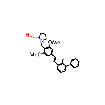 COc1cc(/C=C/c2cccc(-c3ccccc3)c2C)cc(OC)c1CN1CCC[C@H]1CO